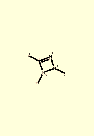 Cc1nn(C)n1C